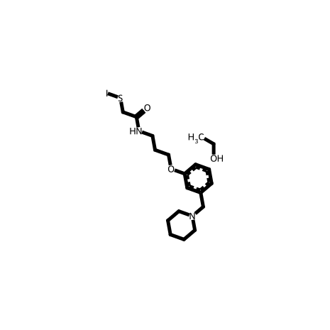 CCO.O=C(CSI)NCCCOc1cccc(CN2CCCCC2)c1